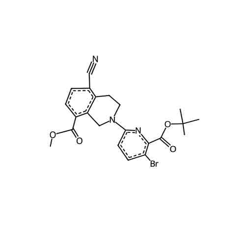 COC(=O)c1ccc(C#N)c2c1CN(c1ccc(Br)c(C(=O)OC(C)(C)C)n1)CC2